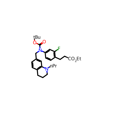 CCCN1CCCc2ccc(CN(C(=O)OC(C)(C)C)c3ccc(CCC(=O)OCC)c(F)c3)cc21